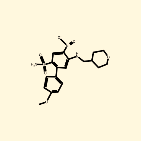 COc1ccc(-c2cc(NCC3CCOCC3)c([N+](=O)[O-])cc2S(N)(=O)=O)cc1